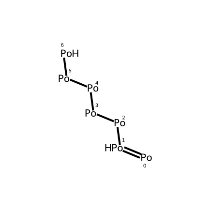 [Po]=[PoH][Po][Po][Po][Po][PoH]